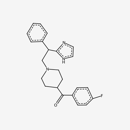 O=C(c1ccc(F)cc1)C1CCN(CC(c2ccccc2)c2ncc[nH]2)CC1